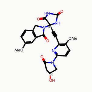 COc1ccc2c(c1)C(=O)N([C@@]1(C#Cc3nc(N4C[C@@H](O)CC4=O)ccc3OC)NC(=O)NC1=O)C2